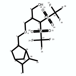 CC1C2CC(COCC(CO)C(S(=O)(=O)C(F)(F)F)S(=O)(=O)C(F)(F)F)C(C2)C1C